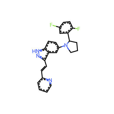 Fc1ccc(F)c(C2CCCN2c2ccc3[nH]nc(C=Cc4ccccn4)c3c2)c1